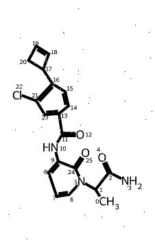 CC(C(N)=O)n1cccc(NC(=O)c2ccc(C3C=CC3)c(Cl)c2)c1=O